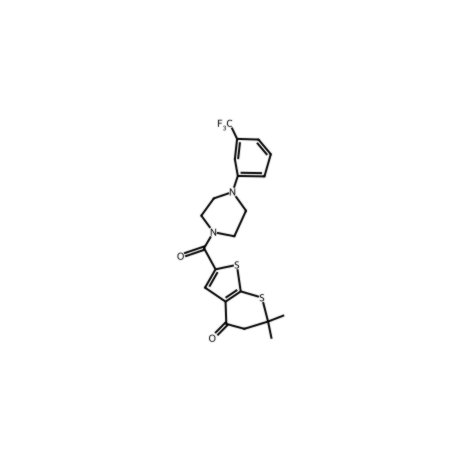 CC1(C)CC(=O)c2cc(C(=O)N3CCN(c4cccc(C(F)(F)F)c4)CC3)sc2S1